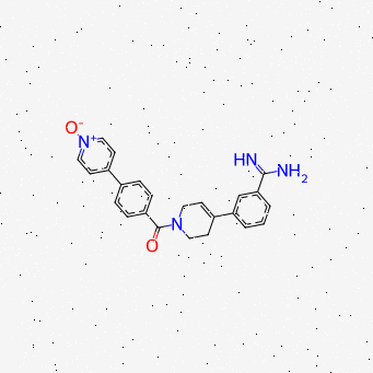 N=C(N)c1cccc(C2=CCN(C(=O)c3ccc(-c4cc[n+]([O-])cc4)cc3)CC2)c1